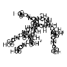 Cc1cc(Nc2nc(Nc3ccc(Nc4nc(Nc5ccc(N=Nc6ccc(N=Nc7ccc(S(=O)(=O)O)cc7)cc6S(=O)(=O)O)c(C)c5)nc(Nc5ccc(N=Nc6ccc(N=Nc7ccc(S(=O)(=O)O)cc7)cc6S(=O)(=O)O)c(C)c5)n4)cc3)nc(Nc3ccc(N=Nc4ccc(N=Nc5ccc(S(=O)(=O)O)cc5)cc4S(=O)(=O)O)c(C)c3)n2)ccc1N=Nc1ccc(N=Nc2ccc(S(=O)(=O)O)cc2)cc1S(=O)(=O)O